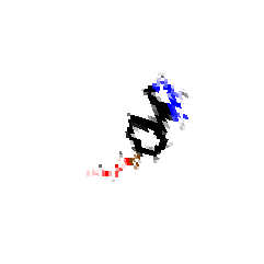 OOOSc1ccc(-c2cnn[nH]2)cc1